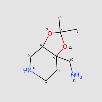 CC1(C)OC2CNCCC2(CN)O1